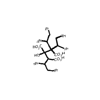 CCCC(CC(C)C)C(C(=O)O)C(O)(C(=O)O)C(C(=O)O)(C(CCC)CC(C)C)C(CCC)CC(C)C